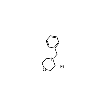 CC[C@@H]1COCCN1Cc1ccccc1